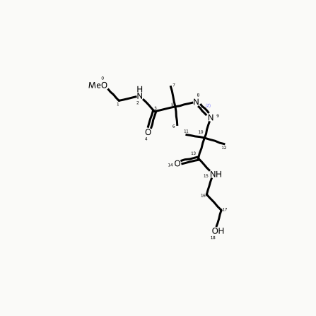 COCNC(=O)C(C)(C)/N=N\C(C)(C)C(=O)NCCO